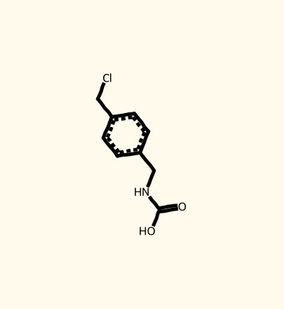 O=C(O)NCc1ccc(CCl)cc1